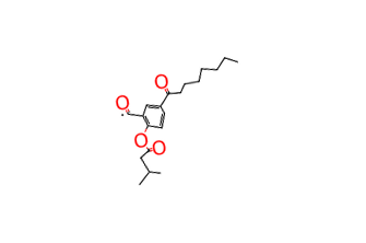 CCCCCCCC(=O)c1ccc(OC(=O)CC(C)C)c([C]=O)c1